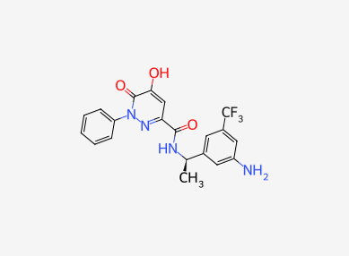 C[C@@H](NC(=O)c1cc(O)c(=O)n(-c2ccccc2)n1)c1cc(N)cc(C(F)(F)F)c1